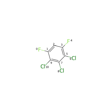 Fc1[c]c(F)c(Cl)c(Cl)c1Cl